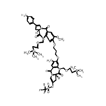 COc1cc2c(cc1OCCCOc1cc3c(cc1C)C(=O)N1C=C(OS(=O)(=O)C(F)(F)F)C[C@H]1C(=O)N3COCC[Si](C)(C)C)N(COCC[Si](C)(C)C)C(=O)[C@@H]1CC(c3ccc(C)cc3)=CN1C2=O